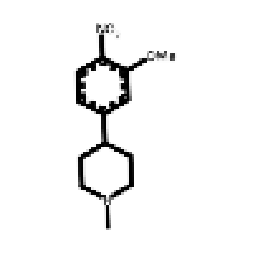 COc1cc(C2CCN(C)CC2)ccc1[N+](=O)[O-]